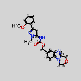 COc1ccccc1-c1cc(NC(=O)OCc2ccc3c(c2)nc2n3CCOC2)n(C)n1